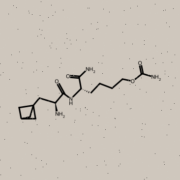 NC(=O)OCCCC[C@H](NC(=O)[C@@H](N)CC12CC(C1)C2)C(N)=O